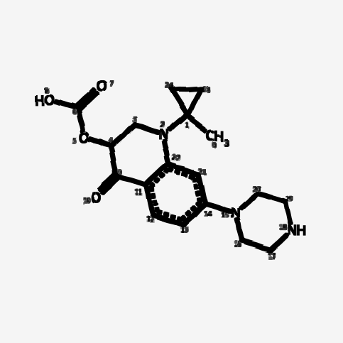 CC1(N2CC(OC(=O)O)C(=O)c3ccc(N4CCNCC4)cc32)CC1